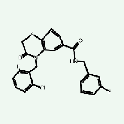 O=C(NCc1cccc(F)c1)c1ccc2c(c1)N(Cc1c(F)cccc1Cl)C(=O)CS2